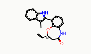 C=C[C@@H]1CC(=O)Nc2cccc(-c3[nH]c4ccccc4c3C)c2O1